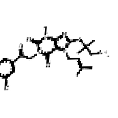 CC(C)=CCn1c(SC(C)(C)CN)nc2c1c(=O)n(CC(=O)c1cccc(Cl)c1)c(=O)n2C